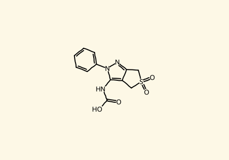 O=C(O)Nc1c2c(nn1-c1ccccc1)CS(=O)(=O)C2